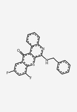 O=c1c2cc(F)cc(F)c2sc2c(NCc3ccccc3)nc3ccccc3c12